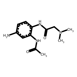 CC(=O)Nc1cc(N)ccc1NC(=O)CN(C)C